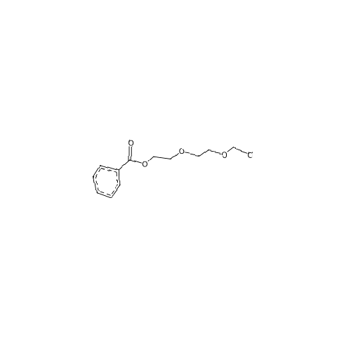 O=C(OCCOCCOCCl)c1ccccc1